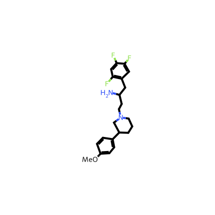 COc1ccc(C2CCCN(CCC(N)Cc3cc(F)c(F)cc3F)C2)cc1